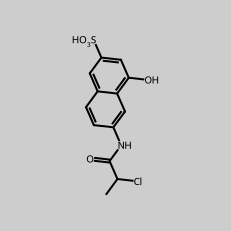 CC(Cl)C(=O)Nc1ccc2cc(S(=O)(=O)O)cc(O)c2c1